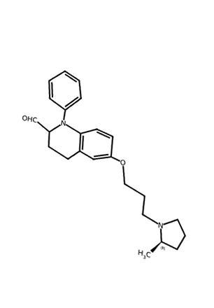 C[C@@H]1CCCN1CCCOc1ccc2c(c1)CCC(C=O)N2c1ccccc1